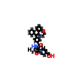 CC(C)(NC(=O)c1ccc2c(C3CCCCC3)c3n(c2c1)CCOc1ccccc1-3)C(=O)N1CCC(CO)CC1